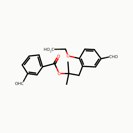 CC(C)(Cc1cc(C=O)ccc1OCC(=O)O)OC(=O)c1cccc(C=O)c1